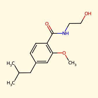 COc1cc(C[C](C)C)ccc1C(=O)NCCO